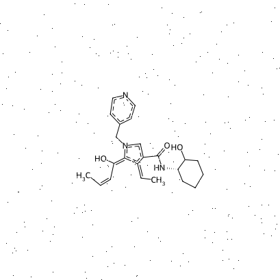 C\C=C/C(O)=c1\c(=C\C)c(C(=O)N[C@H]2CCCCC2O)cn1Cc1ccncc1